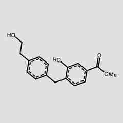 COC(=O)c1ccc(Cc2ccc(CCO)cc2)c(O)c1